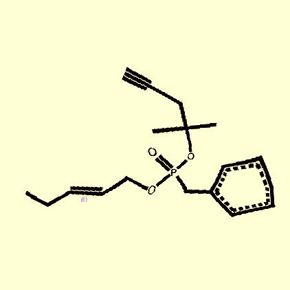 C#CCC(C)(C)OP(=O)(Cc1ccccc1)OC/C=C/CC